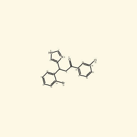 O=C(CC(c1c[nH]cn1)c1ccccc1Br)c1cccc(Cl)c1